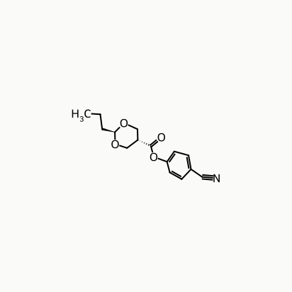 CCC[C@H]1OC[C@H](C(=O)Oc2ccc(C#N)cc2)CO1